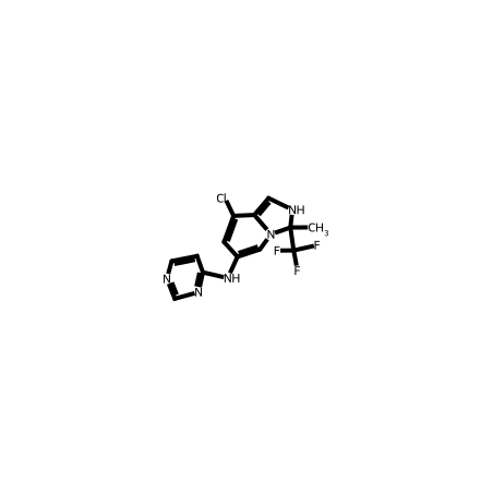 CC1(C(F)(F)F)NC=C2C(Cl)=CC(Nc3ccncn3)=CN21